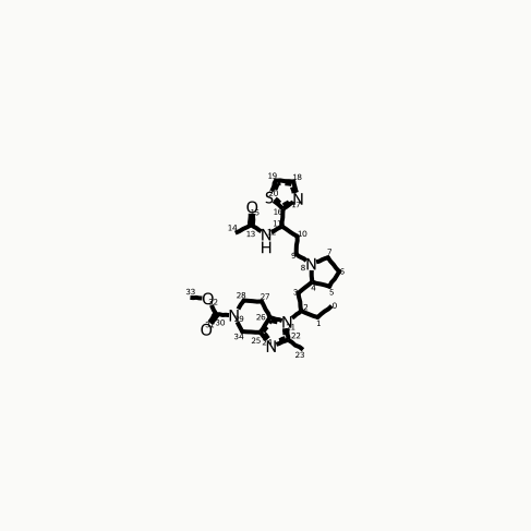 CCC(CC1CCCN1CCC(NC(C)=O)c1nccs1)n1c(C)nc2c1CCN(C(=O)OC)C2